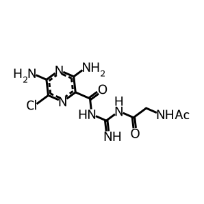 CC(=O)NCC(=O)NC(=N)NC(=O)c1nc(Cl)c(N)nc1N